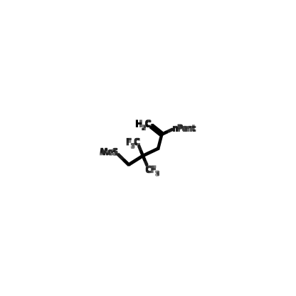 C=C(CCCCC)CC(CSC)(C(F)(F)F)C(F)(F)F